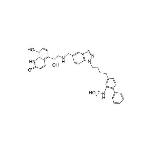 O=C(O)Nc1cc(CCCCn2nnc3cc(CNC[C@H](O)c4ccc(O)c5[nH]c(=O)ccc45)ccc32)ccc1-c1ccccc1